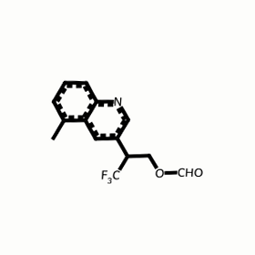 Cc1cccc2ncc(C(COC=O)C(F)(F)F)cc12